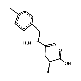 Cc1ccc(C[C@@H](N)C(=O)C[C@H](C)C(=O)O)cc1